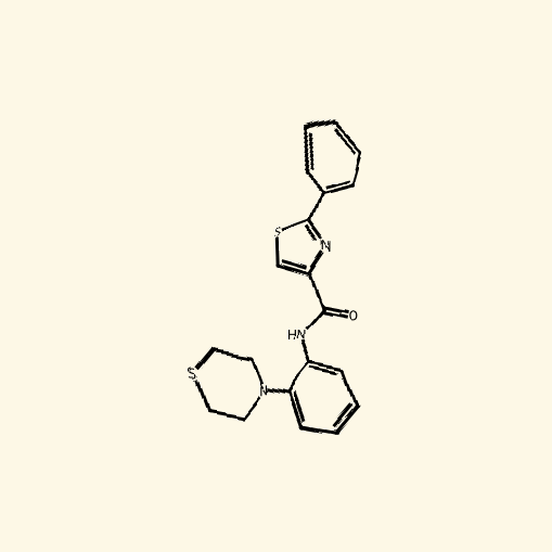 O=C(Nc1ccccc1N1CCSCC1)c1csc(-c2ccccc2)n1